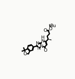 C[C@H](CCC(=O)OC(C)(C)C)c1cc(=O)n2nc(-c3ccc4c(c3)COC4(C)C)nc2[nH]1